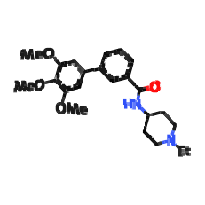 CCN1CCC(NC(=O)c2cccc(-c3cc(OC)c(OC)c(OC)c3)c2)CC1